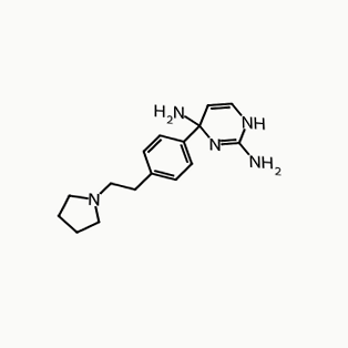 NC1=NC(N)(c2ccc(CCN3CCCC3)cc2)C=CN1